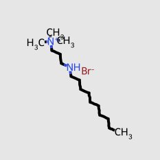 CCCCCCCCCCNCCC[N+](C)(C)C.[Br-]